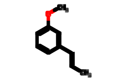 CC=Cc1cccc(OC)c1